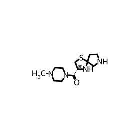 CN1CCN(C(=O)[C@@H]2CSC3(CCNC3)N2)CC1